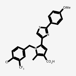 COc1ccc(-c2nc(-c3cc(C(=O)O)c(C)n3Cc3ccc(Cl)c(C(F)(F)F)c3)cs2)cc1